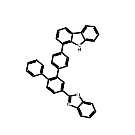 c1ccc(-c2ccc(-c3nc4ccccc4o3)cc2-c2ccc(-c3cccc4c3[nH]c3ccccc34)cc2)cc1